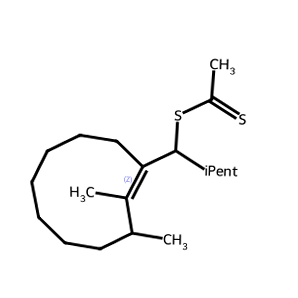 CCCC(C)C(SC(C)=S)/C1=C(/C)C(C)CCCCCCC1